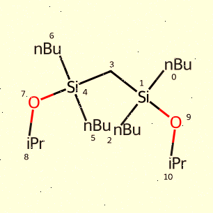 CCCC[Si](CCCC)(C[Si](CCCC)(CCCC)OC(C)C)OC(C)C